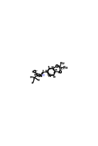 CC(C)(C)[S@@+]([O-])/N=C/c1cc2c(cn1)OC(F)(F)O2